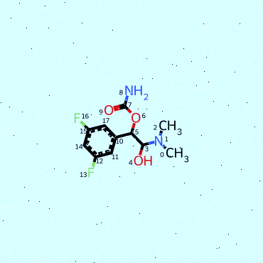 CN(C)C(O)C(OC(N)=O)c1cc(F)cc(F)c1